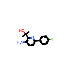 CC(C)(O)c1nc(-c2ccc(F)cc2)ccc1N